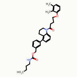 Cc1cccc(OCCCC(=O)N2CCCc3c(-c4cccc(COC(=O)NCCCC(=O)O)c4)cccc32)c1C